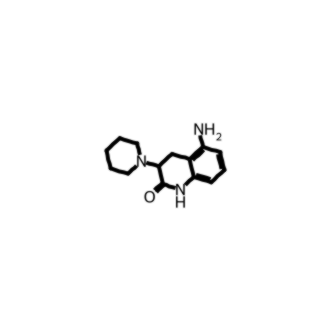 Nc1cccc2c1CC(N1CCCCC1)C(=O)N2